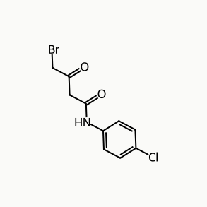 O=C(CBr)CC(=O)Nc1ccc(Cl)cc1